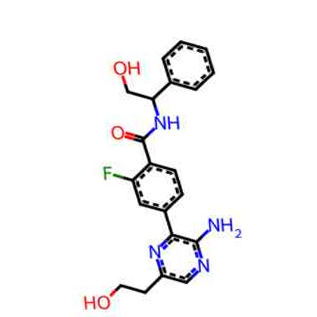 Nc1ncc(CCO)nc1-c1ccc(C(=O)NC(CO)c2ccccc2)c(F)c1